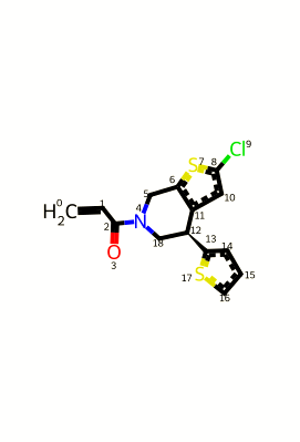 C=CC(=O)N1Cc2sc(Cl)cc2[C@@H](c2cccs2)C1